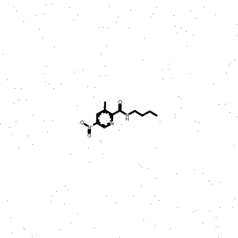 CCCCNC(=O)c1ncc([N+](=O)[O-])cc1C